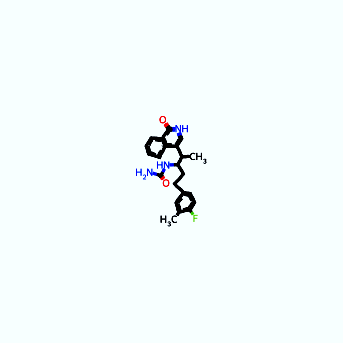 Cc1cc(CCC(NC(N)=O)C(C)c2c[nH]c(=O)c3ccccc23)ccc1F